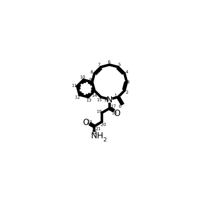 C=C1/C=C\C=C/C/C=C\c2ccccc2CN1C(=O)CCC(N)=O